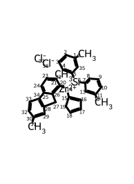 Cc1cccc([Si](c2cccc(C)c2)=[Zr+2]([C]2=CC=CC2)[c]2c(C)ccc3c2Cc2cc(C)ccc2-3)c1.[Cl-].[Cl-]